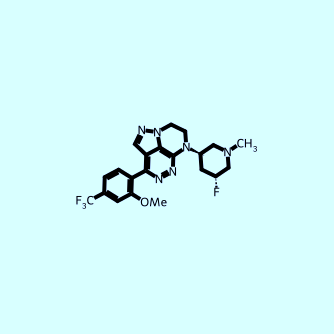 COc1cc(C(F)(F)F)ccc1-c1nnc2c3c1cnn3CCN2[C@@H]1C[C@@H](F)CN(C)C1